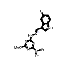 COc1nc(N/N=C/c2c[nH]c3ccc(F)cc23)nc(N(C(C)C)C(C)C)n1